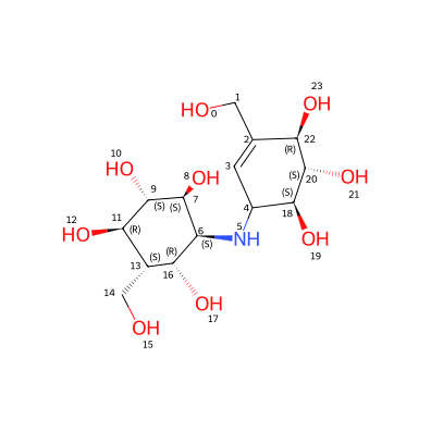 OCC1=CC(N[C@@H]2[C@H](O)[C@@H](O)[C@H](O)[C@@H](CO)[C@H]2O)[C@H](O)[C@@H](O)[C@@H]1O